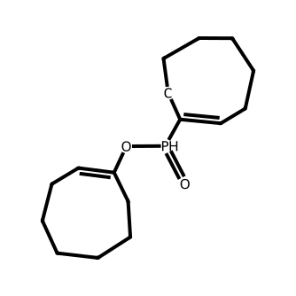 O=[PH](OC1=CCCCCCC1)C1=CCCCCCC1